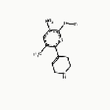 Cc1cc([N+](=O)[O-])c(OC(C)C)nc1C1=CCNCC1